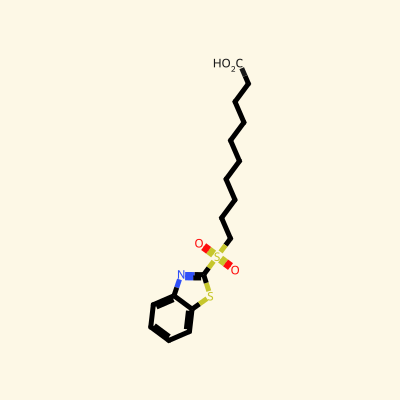 O=C(O)CCCCCCCCCS(=O)(=O)c1nc2ccccc2s1